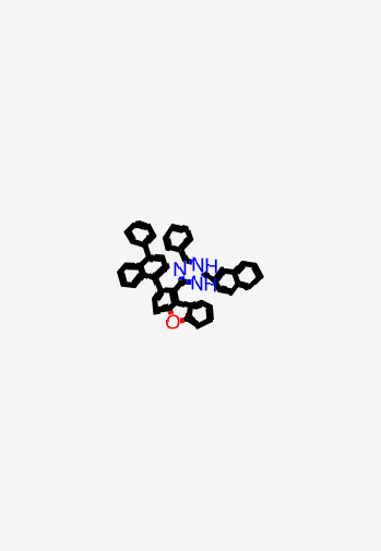 c1ccc(C2=NC(c3c(-c4ccc(-c5ccccc5)c5ccccc45)ccc4oc5ccccc5c34)NC(c3ccc4ccccc4c3)N2)cc1